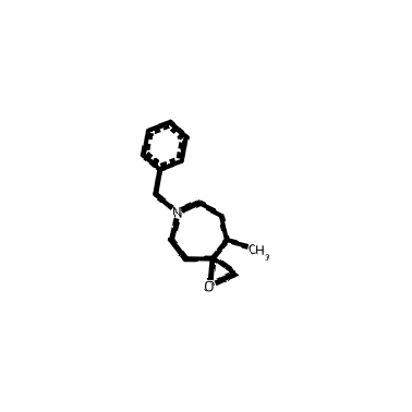 CC1CCN(Cc2ccccc2)CCC12CO2